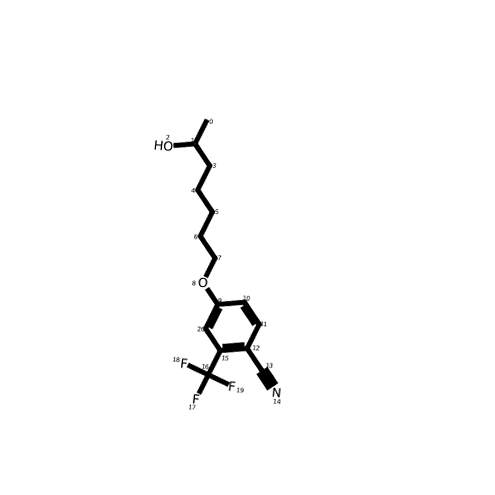 CC(O)CCCCCOc1ccc(C#N)c(C(F)(F)F)c1